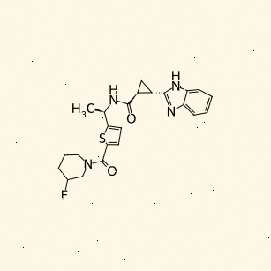 C[C@@H](NC(=O)[C@H]1C[C@@H]1c1nc2ccccc2[nH]1)c1ccc(C(=O)N2CCCC(F)C2)s1